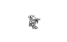 CC(=O)OCC1=C(C(=O)O)N2C(=O)C(Nc3nc4ccccc4[nH]3)[C@H]2SC1.O=C(O)C(F)(F)F